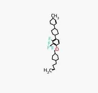 C=CCCC1CCC(COc2ccc(C3CCC(C4C=CC(C)CC4)CC3)c(F)c2C(F)(F)F)CC1